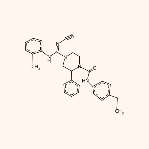 CCc1ccc(NC(=O)N2CCN(/C(=N\C#N)Nc3ccccc3C)CC2c2ccccc2)cc1